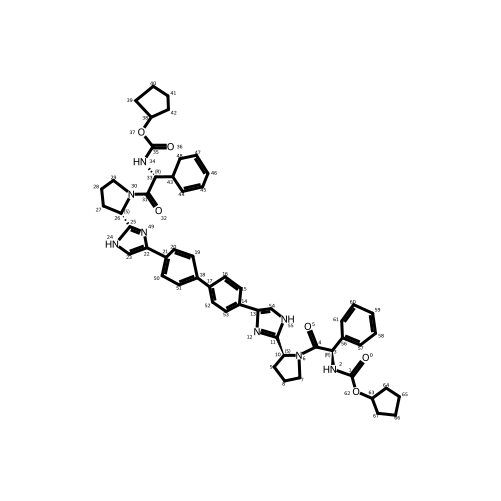 O=C(N[C@@H](C(=O)N1CCC[C@H]1c1nc(-c2ccc(-c3ccc(-c4c[nH]c([C@@H]5CCCN5C(=O)[C@H](NC(=O)OC5CCCC5)C5C=CC=CC5)n4)cc3)cc2)c[nH]1)c1ccccc1)OC1CCCC1